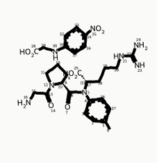 Cc1ccc(N(C(=O)[C@@H]2CCCN2C(=O)CN)[C@@H](CCCNC(=N)N)C(=O)O)cc1.O=C(O)CNc1ccc([N+](=O)[O-])cc1